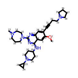 COC1=CC2C(=NC(N3CCCN(C)CC3)=NC2NC2CCN(C3CC3)CC2)C=C1C#CCCN1CCCC1